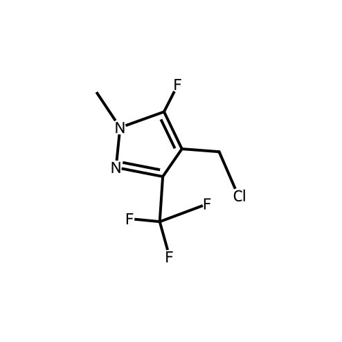 Cn1nc(C(F)(F)F)c(CCl)c1F